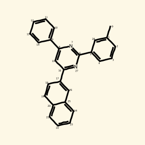 Cc1cccc(-c2nc(-c3ccccc3)cc(-c3ccc4ccccc4c3)n2)c1